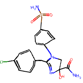 NC(=O)C1(O)CN(c2ccc(S(N)(=O)=O)cc2)C(c2ccc(Cl)cc2)=N1